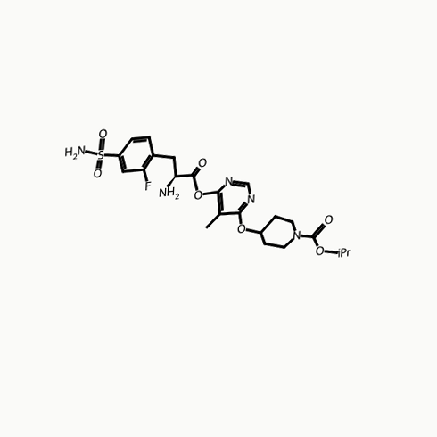 Cc1c(OC(=O)[C@@H](N)Cc2ccc(S(N)(=O)=O)cc2F)ncnc1OC1CCN(C(=O)OC(C)C)CC1